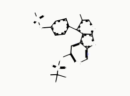 C=C(/C=c1\c(=C/N)[nH]c2ncc(F)c(-c3ccc(NS(C)(=O)=O)cc3)c12)OS(=O)(=O)C(F)(F)F